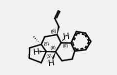 C=CC[C@@H]1C[C@]2(C)CCC[C@H]2[C@H]2CCc3ccccc3[C@H]12